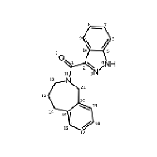 O=C(c1n[nH]c2ccccc12)N1CCCc2ccccc2C1